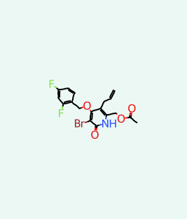 C=CCc1c(COC(C)=O)[nH]c(=O)c(Br)c1OCc1ccc(F)cc1F